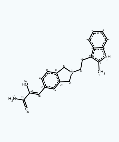 Cc1[nH]c2ccccc2c1CCN1Cc2ccc(C=C(O)C(N)=O)cc2C1